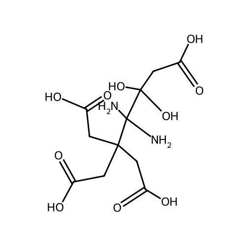 NC(N)(C(O)(O)CC(=O)O)C(CC(=O)O)(CC(=O)O)CC(=O)O